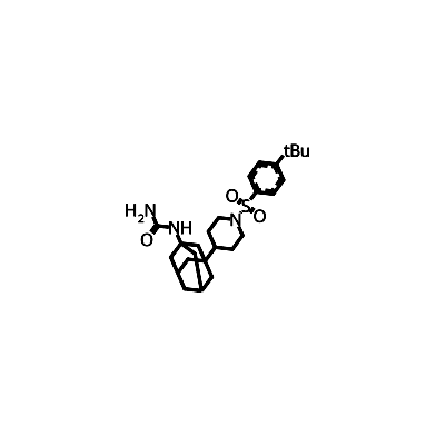 CC(C)(C)c1ccc(S(=O)(=O)N2CCC(C34CC5CC(CC(NC(N)=O)(C5)C3)C4)CC2)cc1